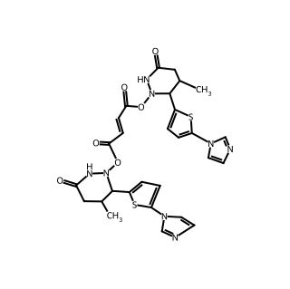 CC1CC(=O)NN(OC(=O)/C=C/C(=O)ON2NC(=O)CC(C)C2c2ccc(-n3ccnc3)s2)C1c1ccc(-n2ccnc2)s1